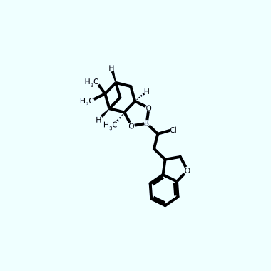 CC1(C)[C@@H]2C[C@H]3OB(C(Cl)CC4COc5ccccc54)O[C@@]3(C)[C@H]1C2